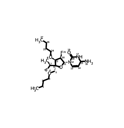 CCCCOC[C@@]1([C@H](C)F)O[C@@H](N2C=CC(N)NC2=O)[C@H](F)[C@@H]1OCCCC